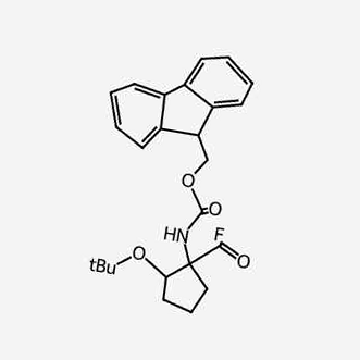 CC(C)(C)OC1CCCC1(NC(=O)OCC1c2ccccc2-c2ccccc21)C(=O)F